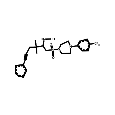 CC(C)(CC#Cc1ccccc1)C(CS(=O)(=O)N1CCN(c2ccc(C(F)(F)F)cc2)CC1)NO